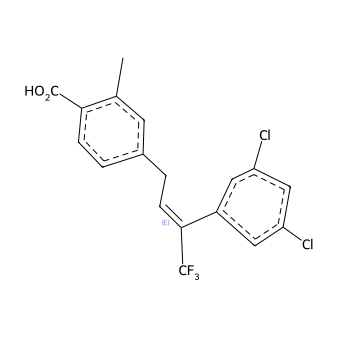 Cc1cc(C/C=C(\c2cc(Cl)cc(Cl)c2)C(F)(F)F)ccc1C(=O)O